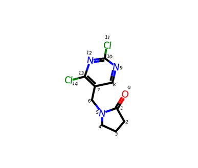 O=C1CCCN1Cc1cnc(Cl)nc1Cl